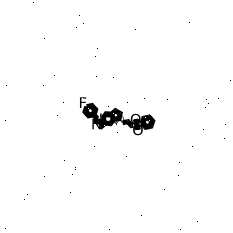 C[C@]12Cc3cnn(-c4ccc(F)cc4)c3C=C1CC[C@@H]2CCCS(=O)(=O)c1ccccc1